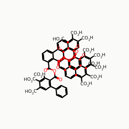 O=C(OC(=O)c1c(-c2ccccc2)cc(C(=O)O)c(C(=O)O)c1C(=O)O)c1cccc(-c2cccc(C(=O)OC(=O)c3c(-c4ccccc4)cc(C(=O)O)c(C(=O)O)c3C(=O)O)c2C(=O)OC(=O)c2c(-c3ccccc3)cc(C(=O)O)c(C(=O)O)c2C(=O)O)c1C(=O)OC(=O)c1c(-c2ccccc2)cc(C(=O)O)c(C(=O)O)c1C(=O)O